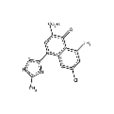 CCOC(=O)c1cn(-c2nc(C)ns2)c2nc(Cl)cc(C)c2c1=O